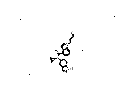 O=C(c1cccc2c1ccn2CCCO)N(C1CC1)C1CCc2[nH]ncc2C1